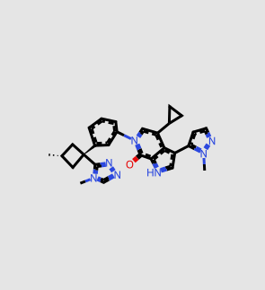 Cn1nccc1-c1c[nH]c2c(=O)n(-c3cccc([C@]4(c5nncn5C)C[C@@H](C)C4)c3)cc(C3CC3)c12